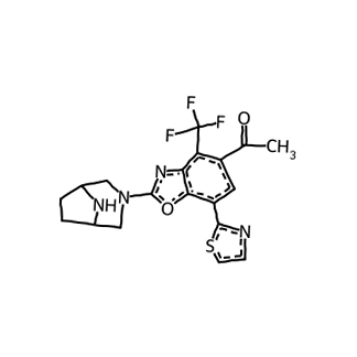 CC(=O)c1cc(-c2nccs2)c2oc(N3CC4CCC(C3)N4)nc2c1C(F)(F)F